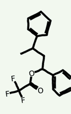 CC(CC(OC(=O)C(F)(F)F)c1ccccc1)c1ccccc1